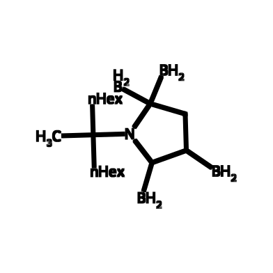 BC1CC(B)(B)N(C(C)(CCCCCC)CCCCCC)C1B